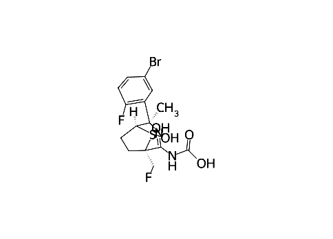 C[C@]1(c2cc(Br)ccc2F)N=C(NC(=O)O)[C@@]2(CF)CC[C@@H]1S2(O)O